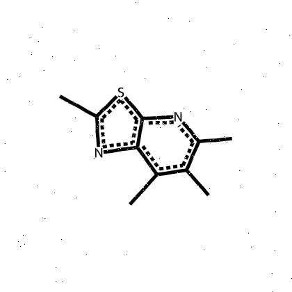 Cc1nc2c(C)c(C)c(C)nc2s1